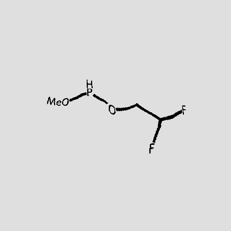 COPOCC(F)F